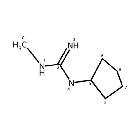 CNC(=N)[N]C1CCCC1